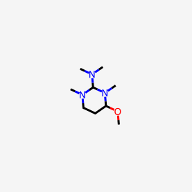 COC1CCN(C)C(N(C)C)N1C